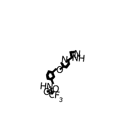 O=S(=O)(NCc1cccc(COc2ccc(-c3ccn[nH]3)nc2)c1)C(F)(F)F